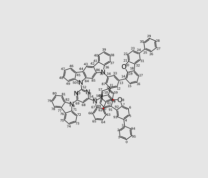 c1ccc(-c2ccc3oc4c(-c5cc(-c6cccc7c6oc6ccc(-c8ccccc8)cc67)cc(-n6c7ccccc7c7cc8c9ccccc9n(-c9nc(-n%10c%11ccccc%11c%11ccccc%11%10)cc(-n%10c%11ccccc%11c%11ccccc%11%10)n9)c8cc76)c5)cccc4c3c2)cc1